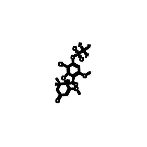 COC1=CC(=O)C[C@@H](C)[C@]12Oc1c(Cl)c(OS(=O)(=O)C(F)(F)F)cc(OC)c1C2=O